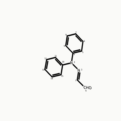 O=CC=NN(c1ccccc1)c1ccccc1